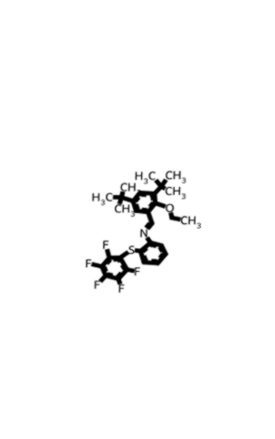 CCOc1c(/C=N/c2ccccc2Sc2c(F)c(F)c(F)c(F)c2F)cc(C(C)(C)C)cc1C(C)(C)C